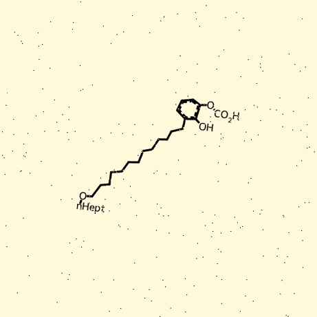 CCCCCCCOCCCCCCCCCCCCCc1cccc(OC(=O)O)c1O